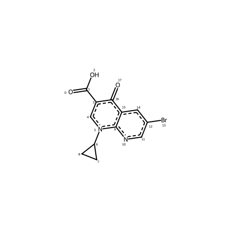 O=C(O)c1cn(C2CC2)c2ncc(Br)cc2c1=O